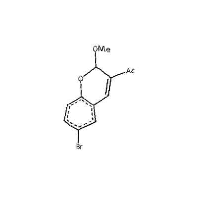 COC1Oc2ccc(Br)cc2C=C1C(C)=O